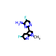 Cn1cc(-c2ncc(F)c(N)n2)c2cc(F)cnc21